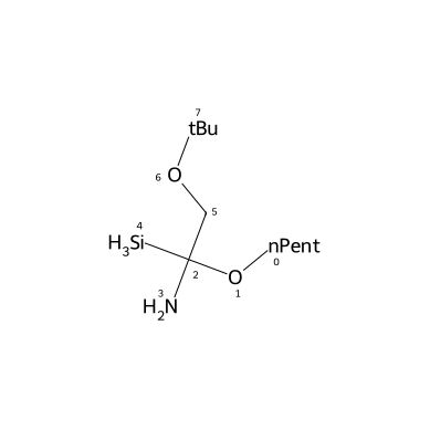 CCCCCOC(N)([SiH3])COC(C)(C)C